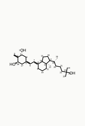 C=C1[C@H](O)CC(=C/C=C2\CCC[C@@]3(C)C2CCC3[C@H](C)CCCC(C)(C)O)C[C@H]1O